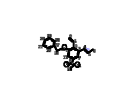 C=Cc1c(/C=C/C)cc(S(C)(=O)=O)cc1OCc1ccccc1